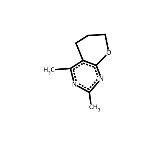 Cc1nc(C)c2c(n1)OCCC2